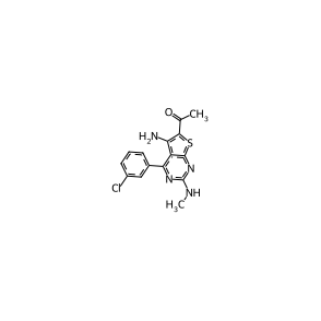 CNc1nc(-c2cccc(Cl)c2)c2c(N)c(C(C)=O)sc2n1